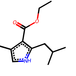 CCOC(=O)c1c(C)c[nH]c1CC(C)C